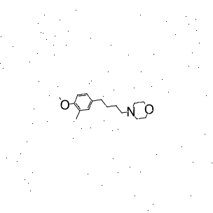 COc1ccc(CCCCN2CCOCC2)cc1C